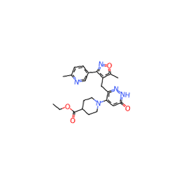 CCOC(=O)C1CCN(c2cc(=O)[nH]nc2Cc2c(-c3ccc(C)nc3)noc2C)CC1